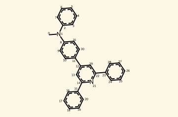 CN(c1ccccc1)c1ccc(-c2cc(-c3ccccc3)nc(-c3ccccc3)c2)cc1